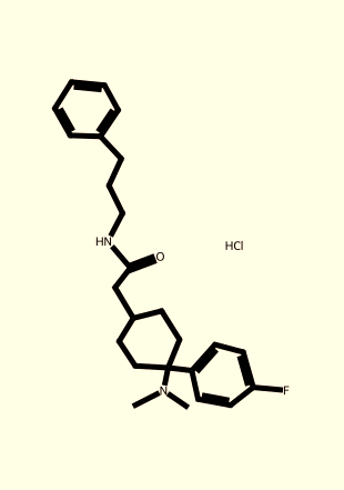 CN(C)C1(c2ccc(F)cc2)CCC(CC(=O)NCCCc2ccccc2)CC1.Cl